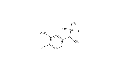 COc1cc(C(C)S(C)(=O)=O)ccc1Br